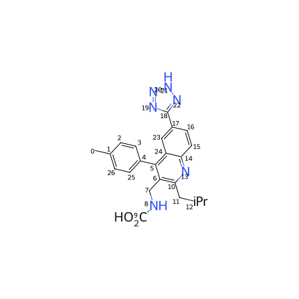 Cc1ccc(-c2c(CNC(=O)O)c(CC(C)C)nc3ccc(-c4nn[nH]n4)cc23)cc1